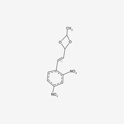 CC1OC(/C=C/c2ccc([N+](=O)[O-])cc2[N+](=O)[O-])O1